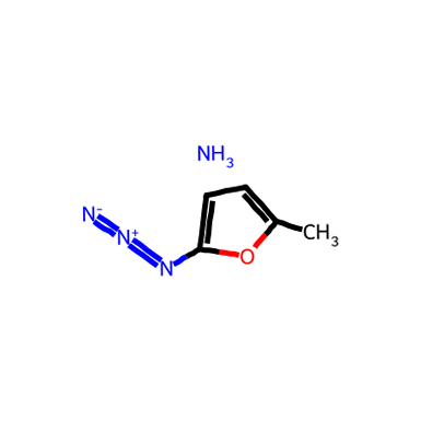 Cc1ccc(N=[N+]=[N-])o1.N